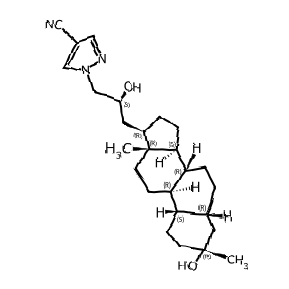 C[C@@]1(O)CC[C@H]2[C@H](CC[C@@H]3[C@@H]2CC[C@]2(C)[C@@H](C[C@H](O)Cn4cc(C#N)cn4)CC[C@@H]32)C1